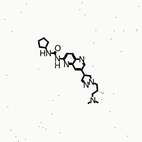 C[C@H](CN(C)C)CN1CC(c2cnc3ccc(NC(=O)NC4CCCC4)nc3c2)C=N1